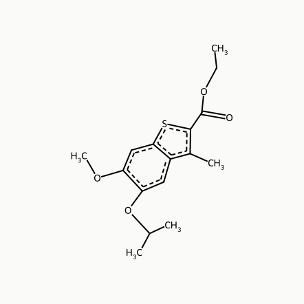 CCOC(=O)c1sc2cc(OC)c(OC(C)C)cc2c1C